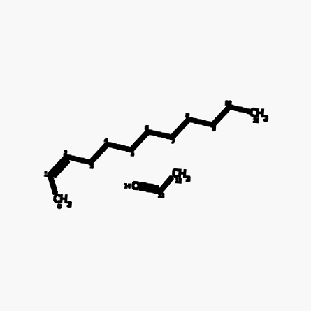 C/C=C\CCCCCCCCC.CC=O